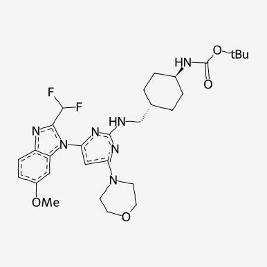 COc1ccc2nc(C(F)F)n(-c3cc(N4CCOCC4)nc(NC[C@H]4CC[C@H](NC(=O)OC(C)(C)C)CC4)n3)c2c1